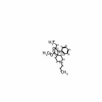 CCCN1CCC(C(=O)OC)(N(C(=O)CC)c2ccccc2)CC1